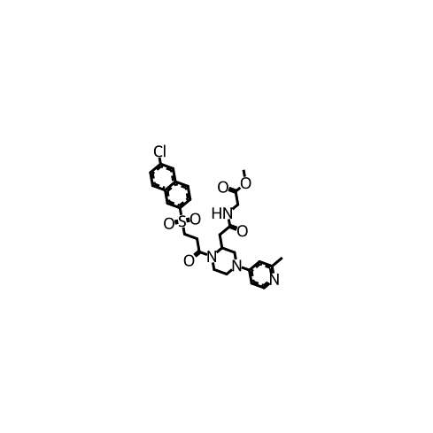 COC(=O)CNC(=O)CC1CN(c2ccnc(C)c2)CCN1C(=O)CCS(=O)(=O)c1ccc2cc(Cl)ccc2c1